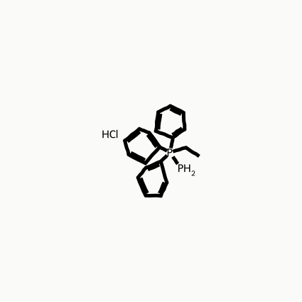 CCP(P)(c1ccccc1)(c1ccccc1)c1ccccc1.Cl